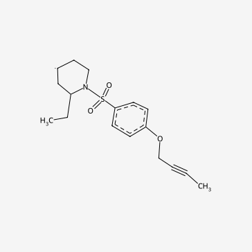 CC#CCOc1ccc(S(=O)(=O)N2CC[CH]CC2CC)cc1